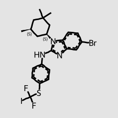 C[C@@H]1C[C@H](n2c(Nc3ccc(SC(F)(F)I)cc3)nc3cc(Br)ccc32)CC(C)(C)C1